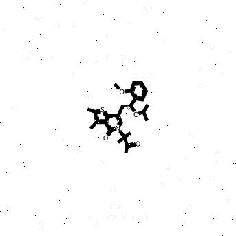 COc1ccccc1[C@H](Cc1cn(C(C)(C)C(C)=O)c(=O)c2c(C)c(C)sc12)OC(C)C